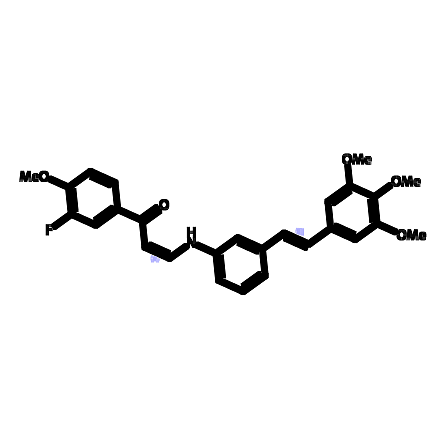 COc1ccc(C(=O)/C=C\Nc2cccc(/C=C/c3cc(OC)c(OC)c(OC)c3)c2)cc1F